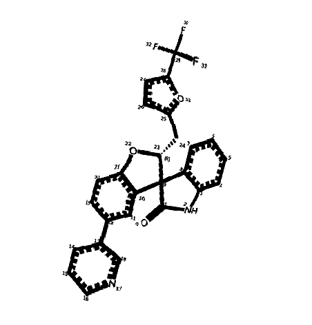 O=C1Nc2ccccc2C12c1cc(-c3cccnc3)ccc1O[C@@H]2Cc1ccc(C(F)(F)F)o1